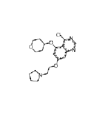 Clc1ncnc2cc(OCCN3CCCC3)cc(OC3CCOCC3)c12